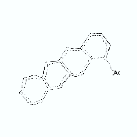 CC(=O)c1cccc2cc3cc4ccccc4cc3cc12